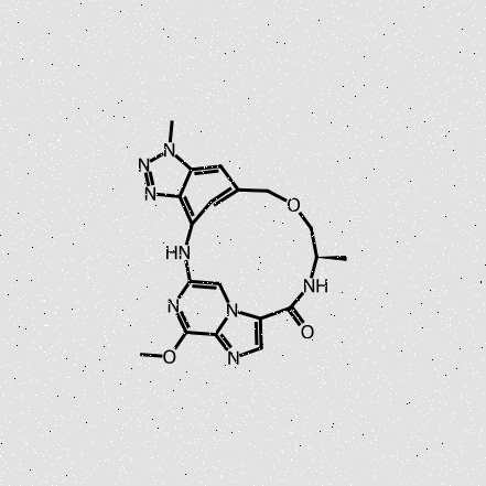 COc1nc2cn3c(cnc13)C(=O)N[C@H](C)COCc1cc(c3nnn(C)c3c1)N2